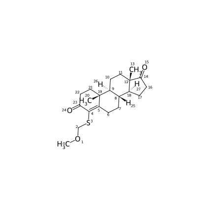 COCSC1=C2CC[C@@H]3[C@H](CC[C@]4(C)C(=O)CC[C@@H]34)[C@@]2(C)CCC1=O